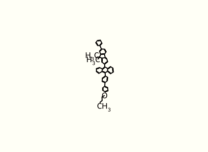 CCCCOc1ccc(-c2ccc(-c3c4ccccc4c(-c4ccc5c(c4)C(C)(C)c4cc(-c6ccccc6)ccc4-5)c4ccccc34)cc2)cc1